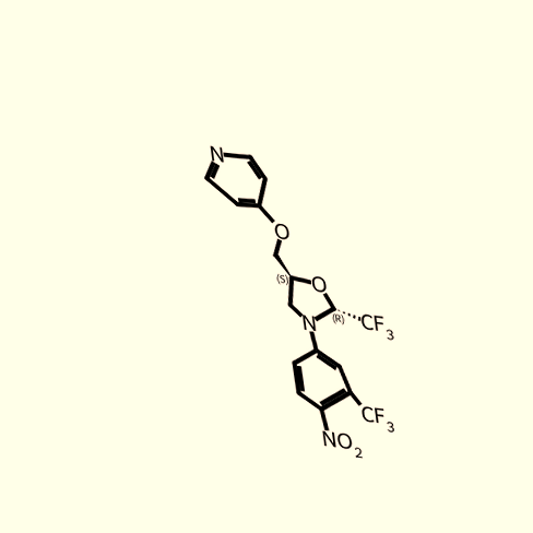 O=[N+]([O-])c1ccc(N2C[C@@H](COc3ccncc3)O[C@@H]2C(F)(F)F)cc1C(F)(F)F